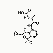 CC(NC(=O)O)C(=O)Nc1cccc(S(C)(=O)=O)c1NCC1CC1